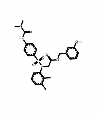 Cc1cccc(N(CC(=O)NCc2cccc(C=O)c2)S(=O)(=O)c2ccc(NC(=O)N(C)C)cc2)c1C